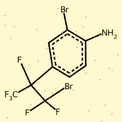 Nc1ccc(C(F)(C(F)(F)F)C(F)(F)Br)cc1Br